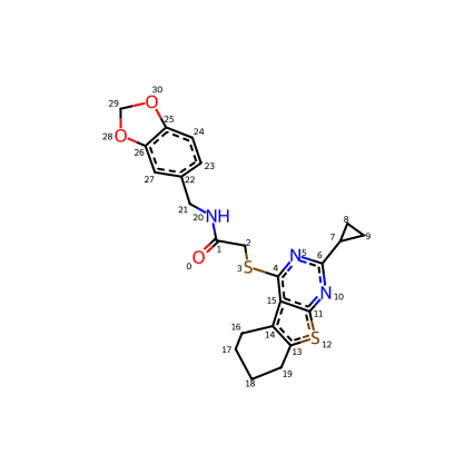 O=C(CSc1nc(C2CC2)nc2sc3c(c12)CCCC3)NCc1ccc2c(c1)OCO2